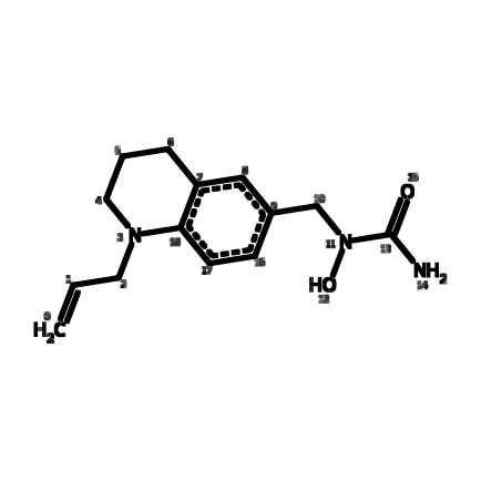 C=CCN1CCCc2cc(CN(O)C(N)=O)ccc21